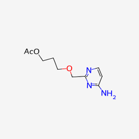 CC(=O)OCCCOCc1nccc(N)n1